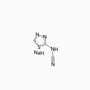 N#CNc1nncs1.[NaH]